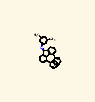 Cc1cc(C)cc(N=C2c3cccc(-c4ccccc4)c3-c3c2cccc3-c2ccccc2)c1